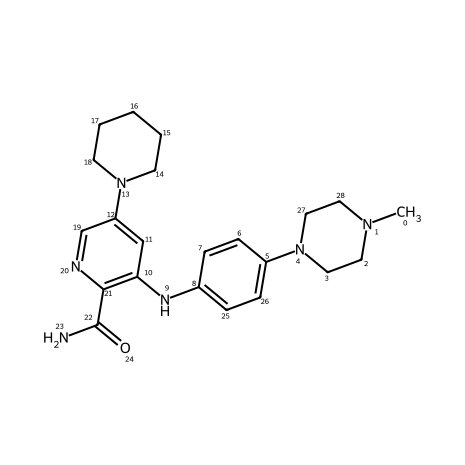 CN1CCN(c2ccc(Nc3cc(N4CCCCC4)cnc3C(N)=O)cc2)CC1